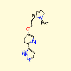 CC(=O)N1CCC[C@@H]1CCOc1ccc(-c2ccn[nH]2)nc1